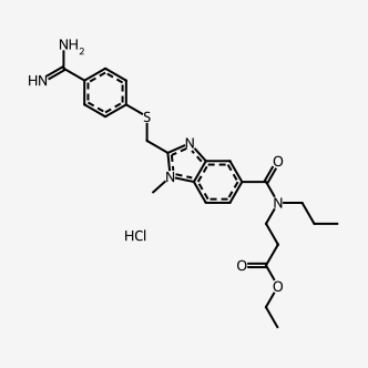 CCCN(CCC(=O)OCC)C(=O)c1ccc2c(c1)nc(CSc1ccc(C(=N)N)cc1)n2C.Cl